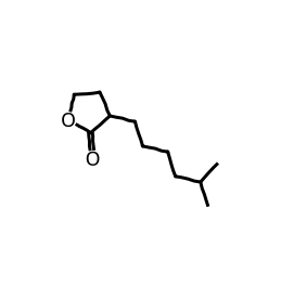 CC(C)CCCCC1CCOC1=O